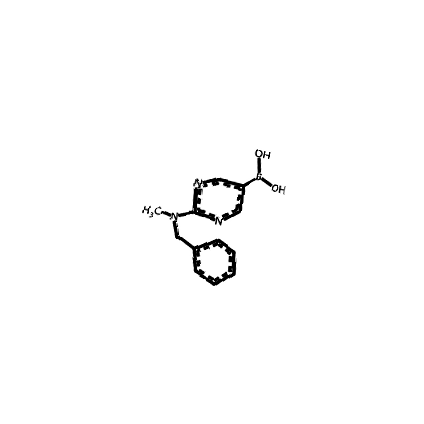 CN(Cc1ccccc1)c1ncc(B(O)O)cn1